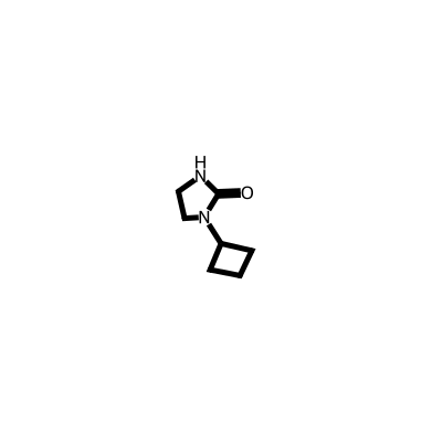 O=C1NCCN1C1CCC1